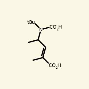 CC(=CC(C)N(C(=O)O)C(C)(C)C)C(=O)O